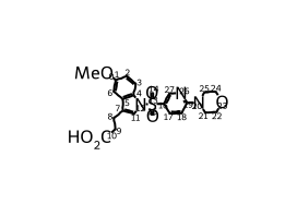 COc1ccc2c(c1)c(CCC(=O)O)cn2S(=O)(=O)c1ccc(N2CCOCC2)nc1